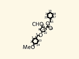 COc1ccc(COC2CC(C=O)N(C(=O)OCc3ccccc3)C2)cc1